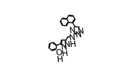 Oc1ccccc1-c1cc(CNc2nncc(-c3cccc4ccccc34)n2)n[nH]1